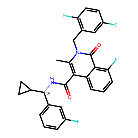 Cc1c(C(=O)N[C@H](c2cccc(F)c2)C2CC2)c2cccc(F)c2c(=O)n1Cc1cc(F)ccc1F